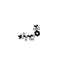 CC(C)S(=O)(=O)c1cccc(OC[C@@H](O)CNC(=O)OC(C)(C)C)c1